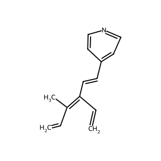 C=C/C(C)=C(C=C)/C=C/c1ccncc1